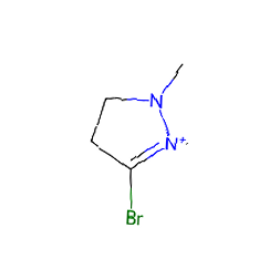 CN1CCC(Br)=[N+]1